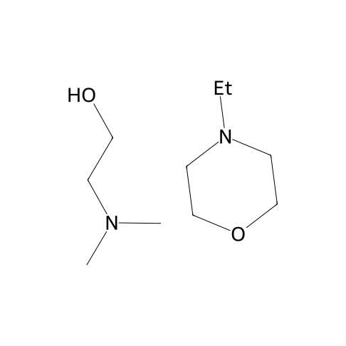 CCN1CCOCC1.CN(C)CCO